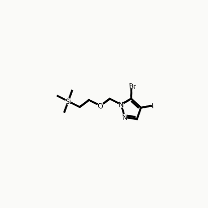 C[Si](C)(C)CCOCn1ncc(I)c1Br